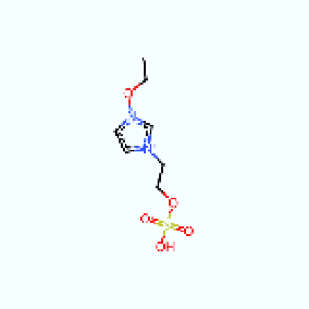 CCOn1cc[n+](CCOS(=O)(=O)O)c1